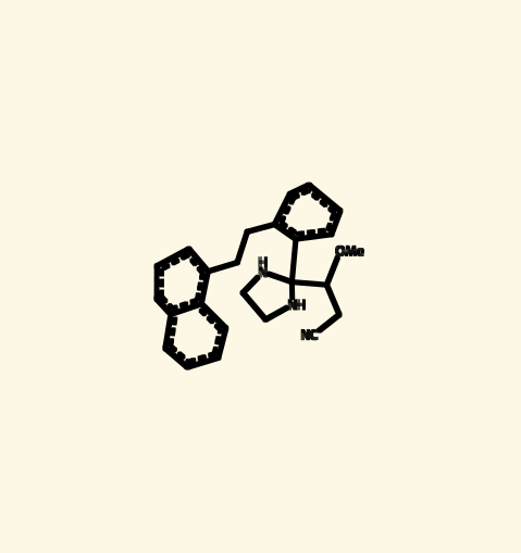 COC(CC#N)C1(c2ccccc2CCc2cccc3ccccc23)NCCN1